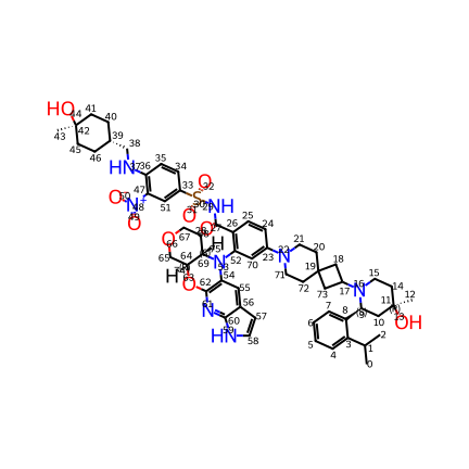 CC(C)c1ccccc1[C@@H]1C[C@](C)(O)CCN1C1CC2(CCN(c3ccc(C(=O)NS(=O)(=O)c4ccc(NC[C@H]5CC[C@](C)(O)CC5)c([N+](=O)[O-])c4)c(N4c5cc6cc[nH]c6nc5O[C@H]5COCC[C@@H]54)c3)CC2)C1